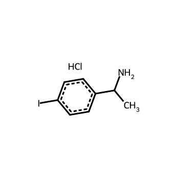 CC(N)c1ccc(I)cc1.Cl